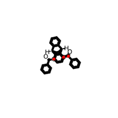 O=C(OC1C(OC(=O)c2ccccc2)[C@@H]2c3ccccc3[C@@H]1c1cccc(I)c12)c1ccccc1